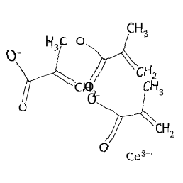 C=C(C)C(=O)[O-].C=C(C)C(=O)[O-].C=C(C)C(=O)[O-].[Ce+3]